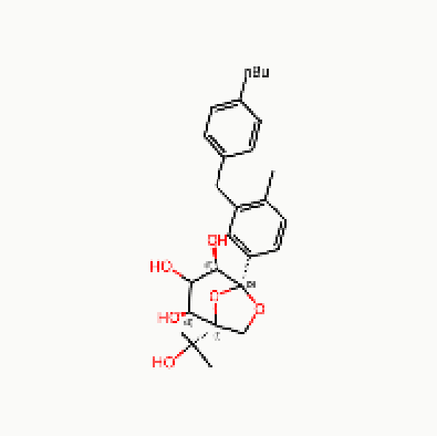 CCCCc1ccc(Cc2cc([C@]34OC[C@](C(C)(C)O)(O3)[C@@H](O)C(O)[C@H]4O)ccc2C)cc1